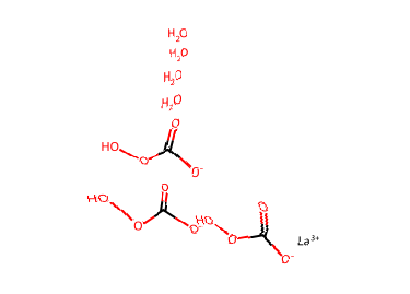 O.O.O.O.O=C([O-])OO.O=C([O-])OO.O=C([O-])OO.[La+3]